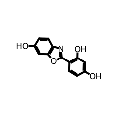 Oc1ccc(-c2nc3ccc(O)cc3o2)c(O)c1